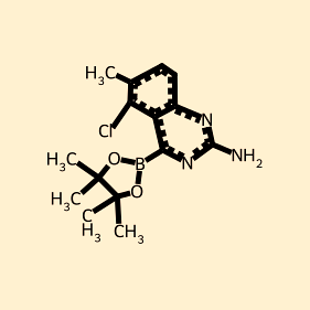 Cc1ccc2nc(N)nc(B3OC(C)(C)C(C)(C)O3)c2c1Cl